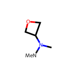 CNN(C)C1COC1